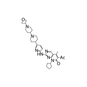 CC(=O)c1c(C)c2cnc(Nc3ccc(C4CCN(C5CCN(C6COC6)CC5)CC4)cn3)nc2n(C2CCCC2)c1=O